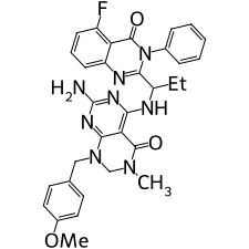 CCC(Nc1nc(N)nc2c1C(=O)N(C)CN2Cc1ccc(OC)cc1)c1nc2cccc(F)c2c(=O)n1-c1ccccc1